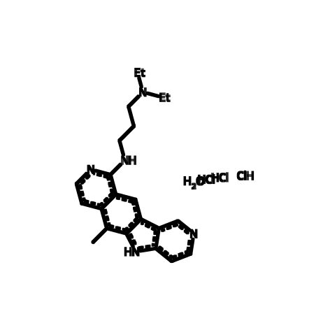 CCN(CC)CCCNc1nccc2c(C)c3[nH]c4ccncc4c3cc12.Cl.Cl.Cl.O